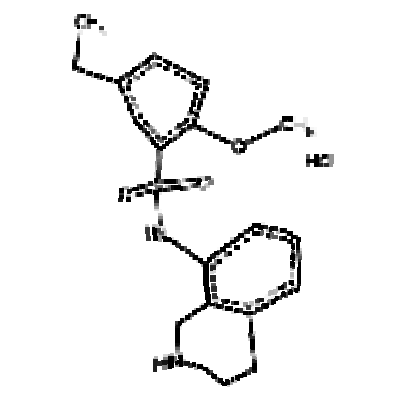 CCc1ccc(OC)c(S(=O)(=O)Nc2cccc3c2CNCC3)c1.Cl